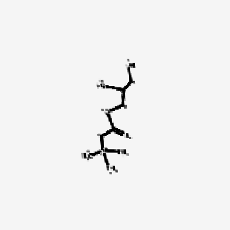 C[N+](C)(C)CC(=O)OCC(O)CO